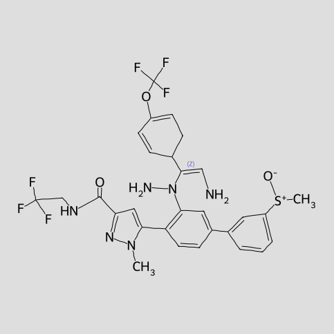 Cn1nc(C(=O)NCC(F)(F)F)cc1-c1ccc(-c2cccc([S+](C)[O-])c2)cc1N(N)/C(=C\N)C1C=CC(OC(F)(F)F)=CC1